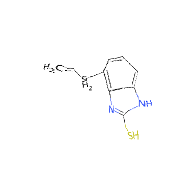 C=C[SiH2]c1cccc2[nH]c(S)nc12